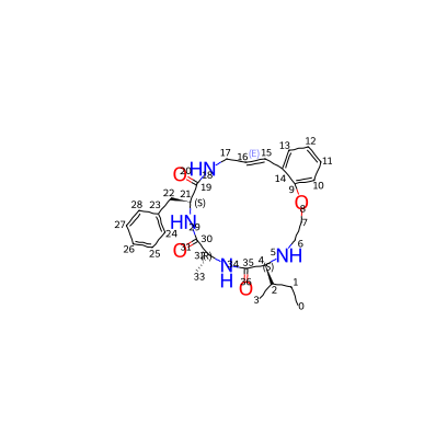 CCC(C)[C@@H]1NCCOc2ccccc2/C=C/CNC(=O)[C@H](Cc2ccccc2)NC(=O)[C@@H](C)NC1=O